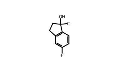 OC1(Cl)CCc2cc(F)ccc21